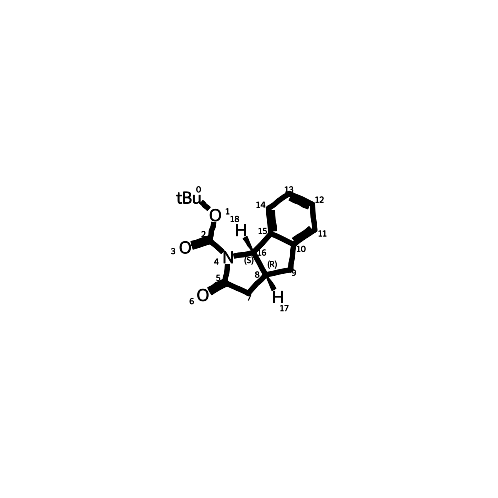 CC(C)(C)OC(=O)N1C(=O)C[C@H]2Cc3ccccc3[C@H]21